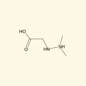 C[SiH](C)NCC(=O)O